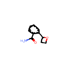 NC(=O)c1ccccc1C1CCO1